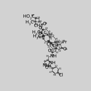 CC(C)C1=C2[C@H]3CC[C@@H]4[C@@]5(C)CC[C@H](OC(=O)[C@H]6C[C@@H](C(=O)O)C6(C)C)C(C)(C)[C@@H]5CC[C@@]4(C)[C@]3(C)CC[C@@]2(CC(=O)NCC(CN)NC(=O)c2ccc(Cl)cc2)CC1=O